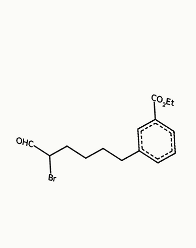 CCOC(=O)c1cccc(CCCCC(Br)C=O)c1